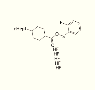 CCCCCCCC1CCC(C(=O)OSc2ccccc2F)CC1.F.F.F.F.F